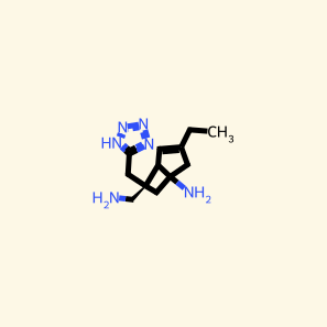 CCC1=CC2C(N)(C1)C[C@]2(CN)Cc1nnn[nH]1